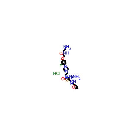 Cl.NCCNC(=O)COc1ccc(N2CCN(CCn3c(=O)sc4c3nc(N)n3nc(-c5ccco5)nc43)CC2)c(F)c1